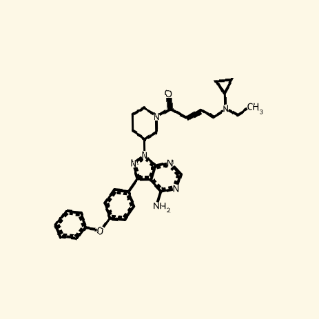 CCN(CC=CC(=O)N1CCCC(n2nc(-c3ccc(Oc4ccccc4)cc3)c3c(N)ncnc32)C1)C1CC1